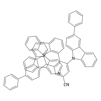 N#Cc1cc(C2c3ccccc3-c3cc(-c4ccccc4)ccc32)c(-c2cccc3c2[Si]2(c4ccccc4-c4cnccc42)c2ccccc2-3)c(-n2c3ccccc3c3cc(-c4ccccc4)ccc32)c1